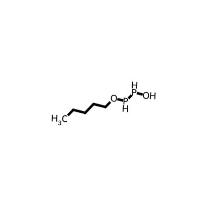 CCCCCOPPO